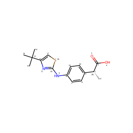 C[C@@H](C(=O)O)c1ccc(Nc2nc(C(C)(C)C)cs2)cc1